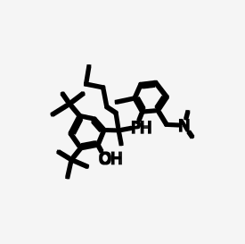 CCCCCC(C)(Pc1c(C)cccc1CN(C)C)c1cc(C(C)(C)C)cc(C(C)(C)C)c1O